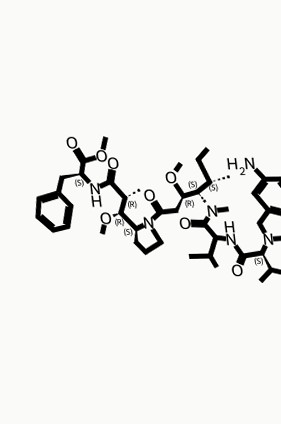 CC[C@H](C)[C@@H]([C@@H](CC(=O)N1CCC[C@H]1[C@H](OC)[C@@H](C)C(=O)N[C@@H](Cc1ccccc1)C(=O)OC)OC)N(C)C(=O)C(NC(=O)[C@H](C(C)C)N(C)Cc1cccc(N)c1)C(C)C